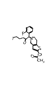 CC(=O)Oc1cc2c(s1)CCN(C(C(=O)CCCI)c1ccccc1F)C2